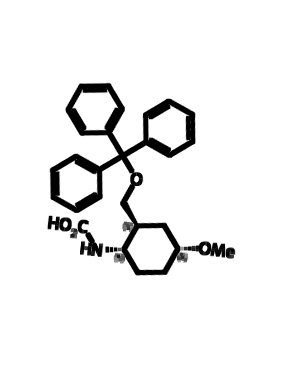 CO[C@@H]1CC[C@H](NC(=O)O)[C@@H](COC(c2ccccc2)(c2ccccc2)c2ccccc2)C1